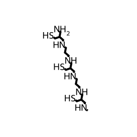 CNCC(CS)CNCCCNCC(CS)CNCCCNCC(CN)CS